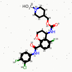 O=C(NC1CCOc2c(C(=O)Nc3ccc(F)c(Cl)c3)ccc(F)c21)OCC1CCN(C(=O)O)CC1